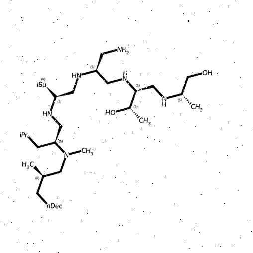 CCCCCCCCCCC[C@@H](C)CN(C)[C@H](CN[C@H](CN[C@@H](CN)CN[C@@H](CN[C@@H](C)CO)[C@H](C)O)[C@H](C)CC)CC(C)C